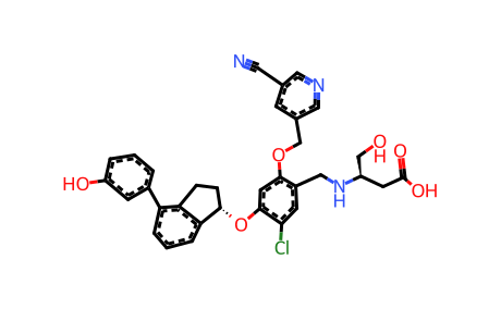 N#Cc1cncc(COc2cc(O[C@H]3CCc4c(-c5cccc(O)c5)cccc43)c(Cl)cc2CN[C@@H](CO)CC(=O)O)c1